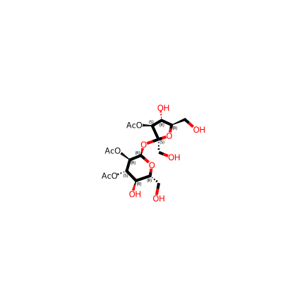 CC(=O)O[C@H]1[C@@H](O[C@]2(CO)O[C@H](CO)[C@@H](O)[C@@H]2OC(C)=O)O[C@H](CO)[C@@H](O)[C@@H]1OC(C)=O